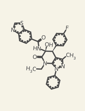 CCN1C(=O)[C@](O)(NC(=O)c2ccc3ncsc3c2)[C@@H](c2ccc(F)cc2)c2c(C)nn(-c3ccccc3)c21